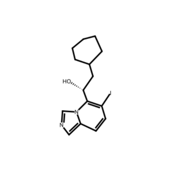 O[C@H](CC1CCCCC1)c1c(I)ccc2cncn12